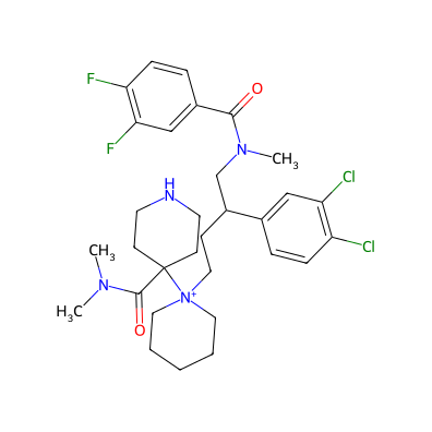 CN(C)C(=O)C1([N+]2(CCC(CN(C)C(=O)c3ccc(F)c(F)c3)c3ccc(Cl)c(Cl)c3)CCCCC2)CCNCC1